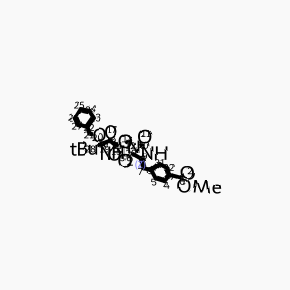 COC(=O)c1ccc(/C=C2\NC(=O)N(OC(=O)C(=O)C(N)(OCc3ccccc3)C(C)(C)C)C2=O)cc1